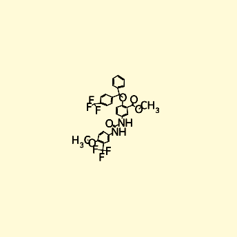 COC(=O)c1cc(NC(=O)Nc2ccc(OC)c(C(F)(F)F)c2)ccc1OC(c1ccccc1)c1ccc(C(F)(F)F)cc1